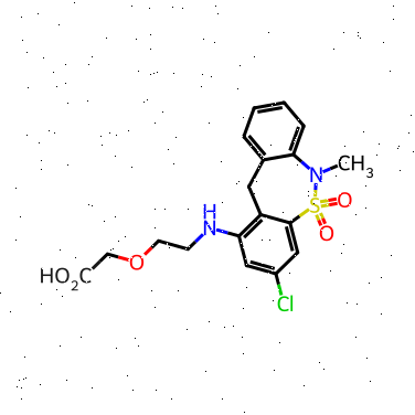 CN1c2ccccc2Cc2c(NCCOCC(=O)O)cc(Cl)cc2S1(=O)=O